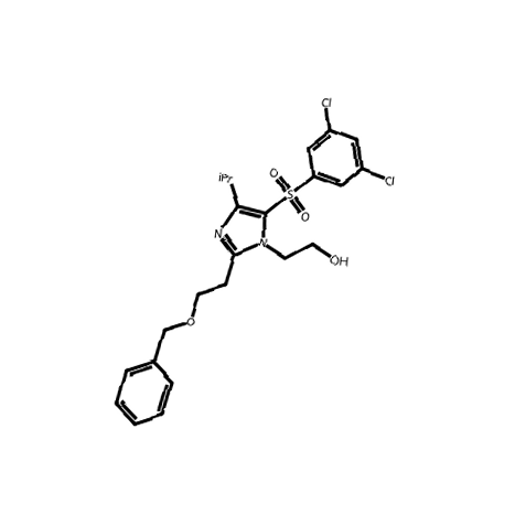 CC(C)c1nc(CCOCc2ccccc2)n(CCO)c1S(=O)(=O)c1cc(Cl)cc(Cl)c1